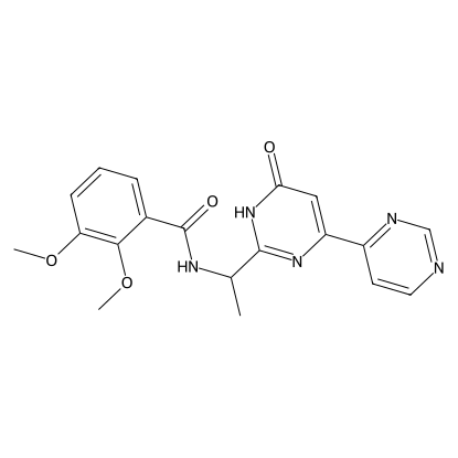 COc1cccc(C(=O)NC(C)c2nc(-c3ccncn3)cc(=O)[nH]2)c1OC